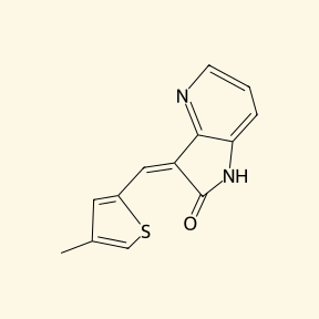 Cc1csc(C=C2C(=O)Nc3cccnc32)c1